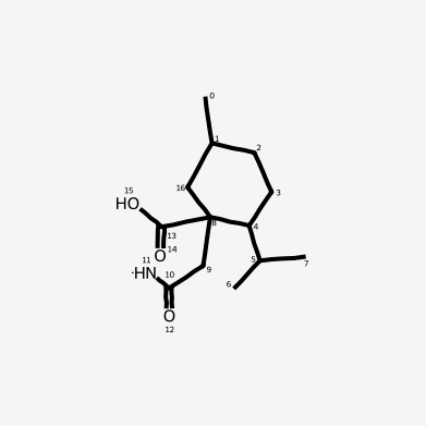 CC1CCC(C(C)C)C(CC([NH])=O)(C(=O)O)C1